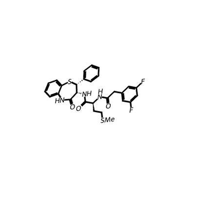 CSCC[C@H](NC(=O)Cc1cc(F)cc(F)c1)C(=O)N[C@@H]1C(=O)Nc2ccccc2S[C@@H]1c1ccccc1